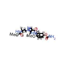 COCc1c(C(=O)N[C@H]2C3CC4CC2C[C@](OC(N)=O)(C4)C3)cnn1/C=C/C(C)(C)NC(=O)OC